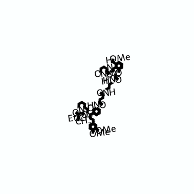 CCC(C)(C)C(=O)C(=O)N1CCCCC1C(=O)C[C@H](CCc1ccc(OC)c(OC)c1)c1cccc(NC(=O)CCC(=O)NCCCCNC(=O)COc2cccc(COC)c2C(=O)NC2CCC(=O)NC2=O)c1